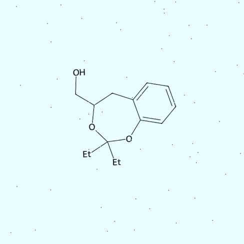 CCC1(CC)Oc2ccccc2CC(CO)O1